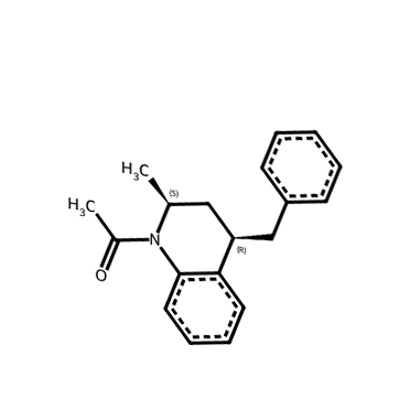 CC(=O)N1c2ccccc2[C@H](Cc2ccccc2)C[C@@H]1C